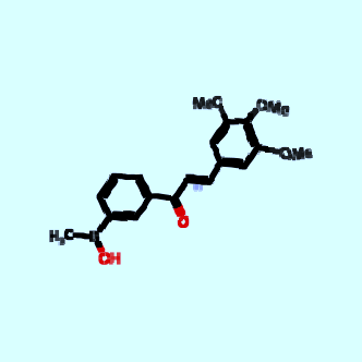 COc1cc(/C=C/C(=O)c2cccc(B(C)O)c2)cc(OC)c1OC